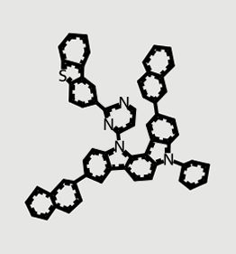 c1ccc(-n2c3ccc(-c4ccc5ccccc5c4)cc3c3c2ccc2c4cc(-c5ccc6ccccc6c5)ccc4n(-c4ccnc(-c5ccc6sc7ccccc7c6c5)n4)c23)cc1